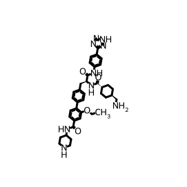 CCOc1cc(C(=O)NC2CCNCC2)ccc1-c1ccc(C[C@H](NC(=O)[C@H]2CC[C@H](CN)CC2)C(=O)Nc2ccc(-c3nn[nH]n3)cc2)cc1